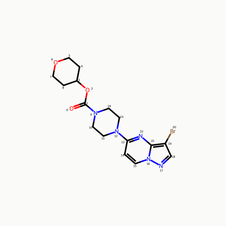 O=C(OC1CCOCC1)N1CCN(c2ccn3ncc(Br)c3n2)CC1